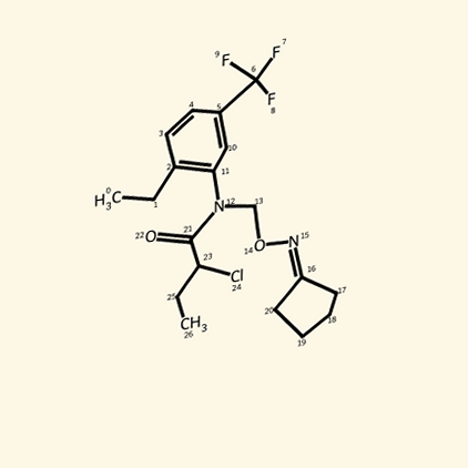 CCc1ccc(C(F)(F)F)cc1N(CON=C1CCCC1)C(=O)C(Cl)CC